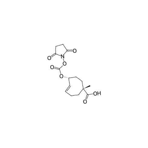 C[C@@]1(C(=O)O)CC/C=C/[C@H](OC(=O)ON2C(=O)CCC2=O)CC1